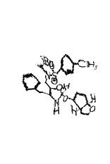 CC[C@H](C)CN(C[C@@H](O)[C@H](Cc1ccccc1)NC(=O)O[C@H]1CC[C@H]2OCC[C@@H]12)S(=O)(=O)c1ccc(C)cc1